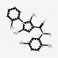 CCN(C(=O)c1cc(C)n(-c2ccccc2C(F)(F)F)c1C)c1cc(O)ccc1C